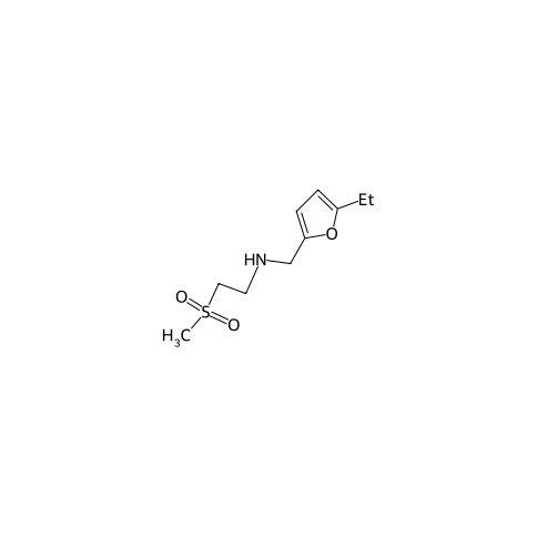 CCc1ccc(CNCCS(C)(=O)=O)o1